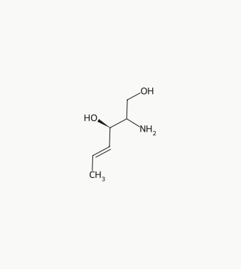 C/C=C/[C@@H](O)C(N)CO